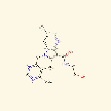 COc1ncnc(Cn2cc(C(=O)NCCO)c3ncc(C)cc32)c1C